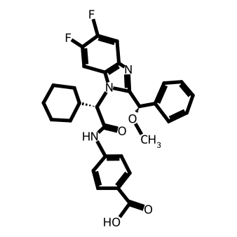 CO[C@@H](c1ccccc1)c1nc2cc(F)c(F)cc2n1[C@H](C(=O)Nc1ccc(C(=O)O)cc1)C1CCCCC1